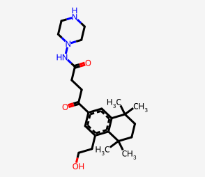 CC1(C)CCC(C)(C)c2c(CCO)cc(C(=O)CCC(=O)NN3CCNCC3)cc21